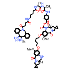 CCN1NNC2=C1c1ccccc1CN(C(=O)CCC(=O)NCCCCC(=O)N[C@H](C(=O)N[C@@H](C)C(=O)Nc1ccc(COC(=O)N3c4cc(OCCCCCOc5cc6c(cc5OC)C(=O)N5CC7(CC7)C[C@H]5CN6)c(OC)cc4C(=O)N4CC5(CC5)C[C@H]4[C@@H]3O)cc1)C(C)C)c1ccccc12